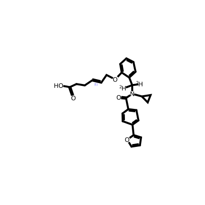 [2H]C([2H])(c1ccccc1OC/C=C/CCC(=O)O)N(C(=O)c1ccc(-c2ccco2)cc1)C1CC1